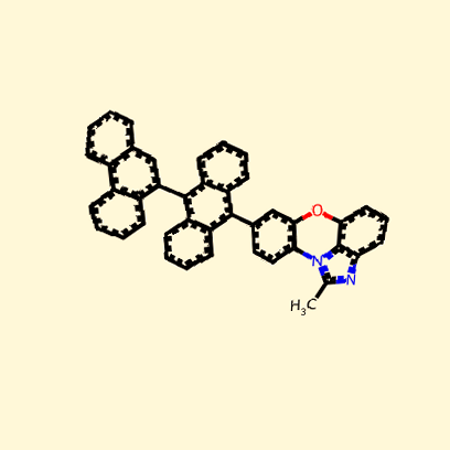 Cc1nc2cccc3c2n1-c1ccc(-c2c4ccccc4c(-c4cc5ccccc5c5ccccc45)c4ccccc24)cc1O3